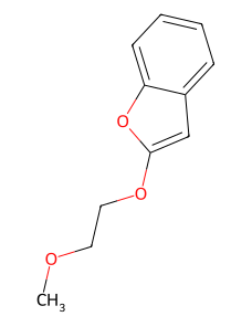 COCCOc1cc2ccccc2o1